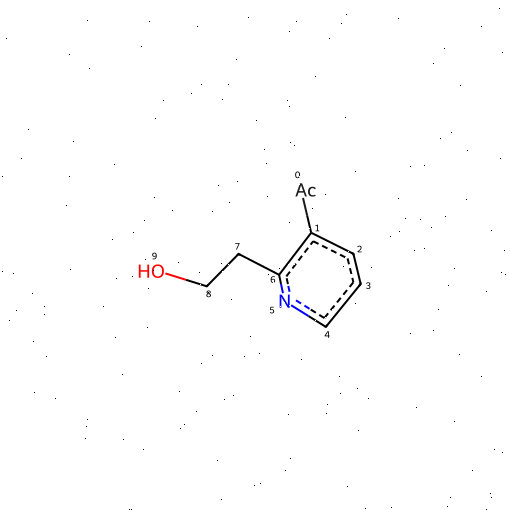 CC(=O)c1cccnc1CCO